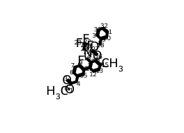 COC(=O)Cc1ccc(F)c(-c2ccc(C)cc2CN(CC(F)(F)F)C(=O)OCc2ccccc2)c1